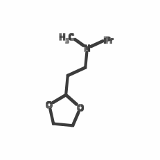 CC(C)N(C)CCC1OCCO1